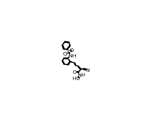 N#CC(=CC=Cc1ccccc1NS(=O)(=O)c1ccccc1)C(=O)NO